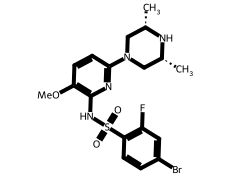 COc1ccc(N2C[C@@H](C)N[C@@H](C)C2)nc1NS(=O)(=O)c1ccc(Br)cc1F